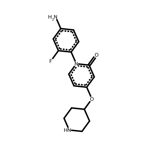 Nc1ccc(-n2ccc(OC3CCNCC3)cc2=O)c(F)c1